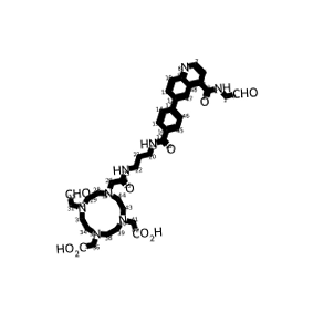 O=CCNC(=O)c1ccnc2ccc(-c3ccc(C(=O)NCCCNC(=O)CN4CCN(CC=O)CCN(CC(=O)O)CCN(CC(=O)O)CC4)cc3)cc12